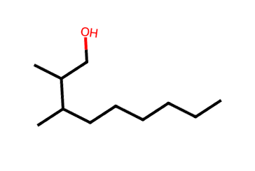 CCCCCCC(C)C(C)CO